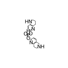 O=[PH](Oc1ccc2c(n1)CCNC2)Oc1ccc2c(n1)CCCN2